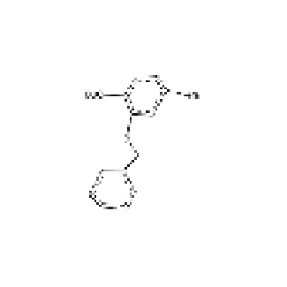 CC(C)COc1ccc(C(C)(C)C)cc1OCc1ccccc1